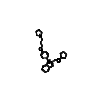 c1ccc2c(c1)cc(COC1CCCC1)n2-c1ccc(OCCCN2CCCC2)cc1